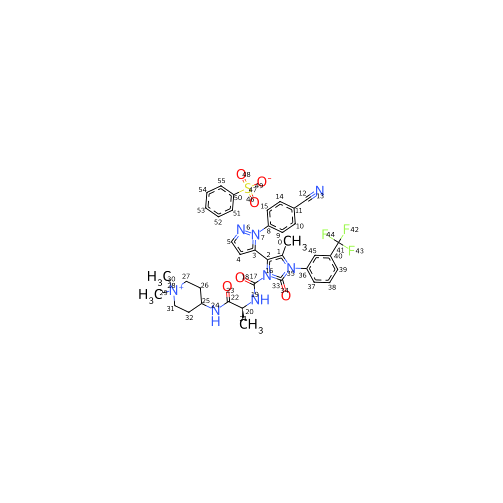 Cc1c(-c2ccnn2-c2ccc(C#N)cc2)n(C(=O)N[C@@H](C)C(=O)NC2CC[N+](C)(C)CC2)c(=O)n1-c1cccc(C(F)(F)F)c1.O=S(=O)([O-])c1ccccc1